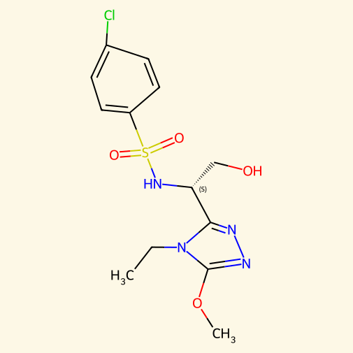 CCn1c(OC)nnc1[C@@H](CO)NS(=O)(=O)c1ccc(Cl)cc1